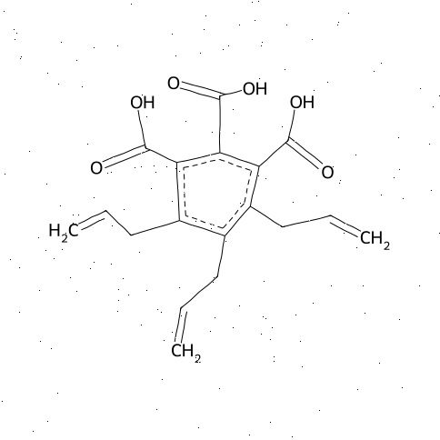 C=CCc1c(CC=C)c(C(=O)O)c(C(=O)O)c(C(=O)O)c1CC=C